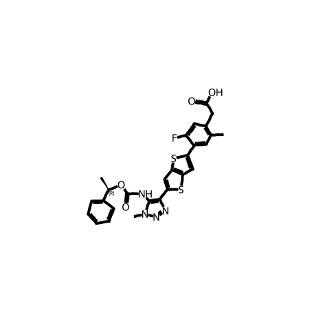 Cc1cc(-c2cc3sc(-c4nnn(C)c4NC(=O)O[C@H](C)c4ccccc4)cc3s2)c(F)cc1CC(=O)O